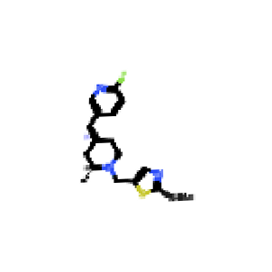 CC(=O)Nc1ncc(CN2CC/C(=C\c3ccc(F)nc3)C[C@H]2C)s1